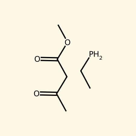 CCP.COC(=O)CC(C)=O